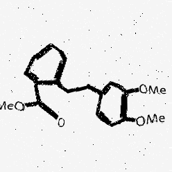 COC(=O)c1ccccc1CCc1ccc(OC)c(OC)c1